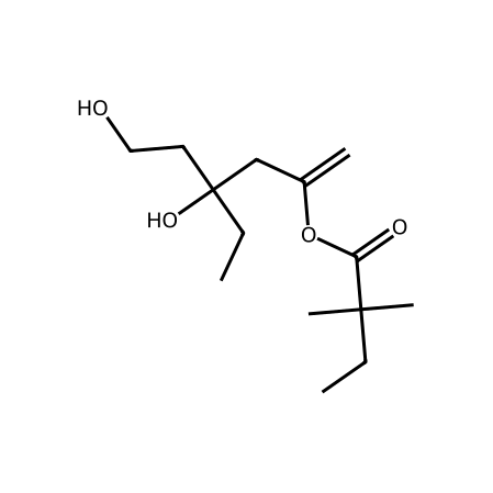 C=C(CC(O)(CC)CCO)OC(=O)C(C)(C)CC